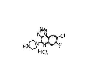 Cl.Fc1cc2nc(N3CCNCC3)c3nnnn3c2cc1Cl